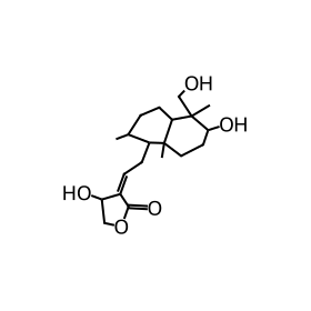 CC1CCC2C(C)(CO)C(O)CCC2(C)C1CC=C1C(=O)OCC1O